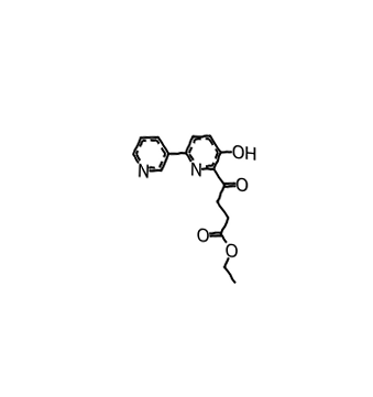 CCOC(=O)CCC(=O)c1nc(-c2cccnc2)ccc1O